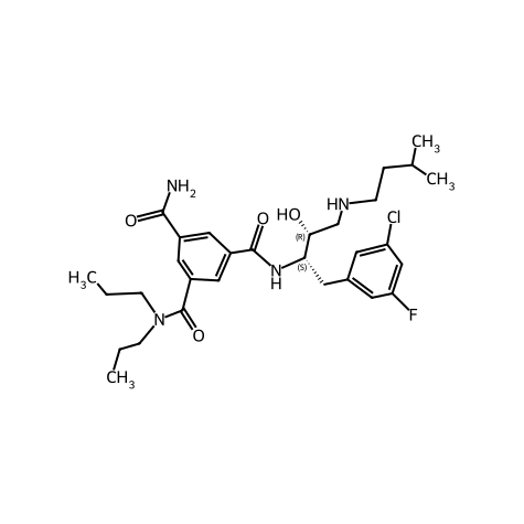 CCCN(CCC)C(=O)c1cc(C(N)=O)cc(C(=O)N[C@@H](Cc2cc(F)cc(Cl)c2)[C@H](O)CNCCC(C)C)c1